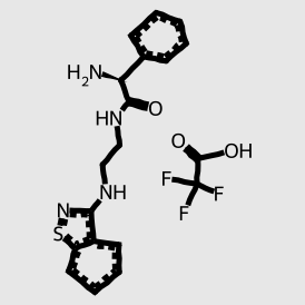 N[C@H](C(=O)NCCNc1nsc2ccccc12)c1ccccc1.O=C(O)C(F)(F)F